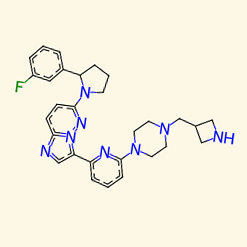 Fc1cccc(C2CCCN2c2ccc3ncc(-c4cccc(N5CCN(CC6CNC6)CC5)n4)n3n2)c1